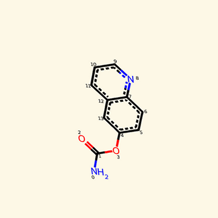 NC(=O)Oc1ccc2ncccc2c1